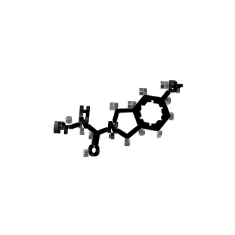 CC(C)NC(=O)N1Cc2ccc(Br)cc2C1